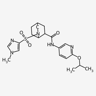 CC(C)Oc1ccc(NC(=O)C2CC3CCC2N(S(=O)(=O)c2cn(C)cn2)C3)cn1